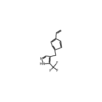 C=Cc1ccc(Cc2cn[nH]c2C(F)(F)F)cc1